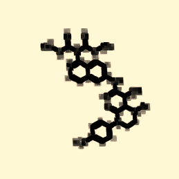 CC(=O)N1CCN(c2ccc(C)cc2)C(=O)C1C(O)C(=O)Nc1ccc2c(N(C(=O)OC(C)(C)C)C(=O)OC(C)(C)C)nccc2c1